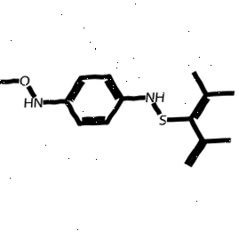 C=C(C)C(SNc1ccc(NOC)cc1)=C(C)C